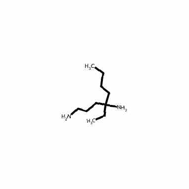 CCCCC(N)(CC)CCCN